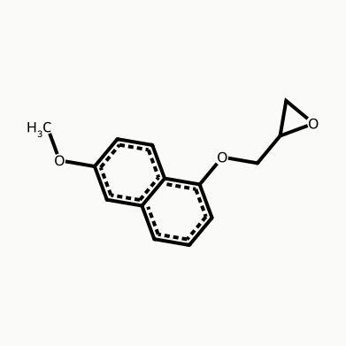 COc1ccc2c(OCC3CO3)cccc2c1